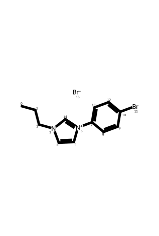 CCCn1cc[n+](-c2ccc(Br)cc2)c1.[Br-]